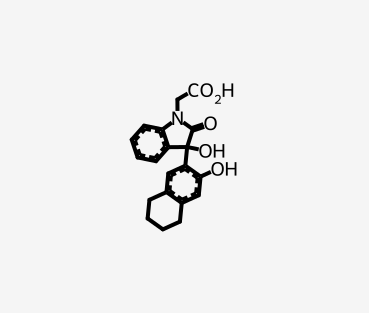 O=C(O)CN1C(=O)C(O)(c2cc3c(cc2O)CCCC3)c2ccccc21